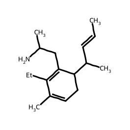 CC=CC(C)C1CC=C(C)C(CC)=C1CC(C)N